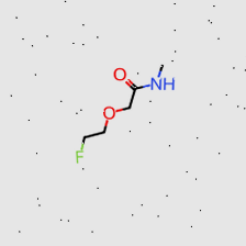 CNC(=O)COCCF